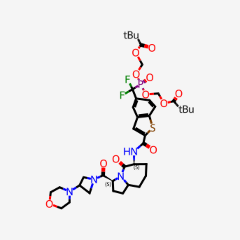 CC(C)(C)C(=O)OCOP(=O)(OCOC(=O)C(C)(C)C)C(F)(F)c1ccc2sc(C(=O)N[C@H]3CCCC4CC[C@@H](C(=O)N5CC(N6CCOCC6)C5)N4C3=O)cc2c1